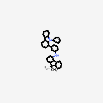 CC1(C)c2ccccc2-c2c(Nc3cccc(-c4cccc5c6ccccc6n(-c6ccccc6)c45)c3)cccc21